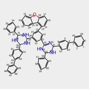 c1ccc(-c2ccc(C3N=C(c4cc(-c5cccc6oc7ccccc7c56)cc(C5NC(c6ccccc6)NC(c6ccc(-c7ccccc7)cc6)N5)c4)NC(c4ccccc4)N3)cc2)cc1